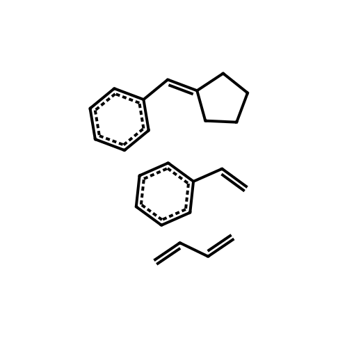 C(=C1CCCC1)c1ccccc1.C=CC=C.C=Cc1ccccc1